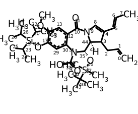 C=CCC1C(C=CC)=CN2C(=O)c3cc(OC)c(O[Si](C(C)C)(C(C)C)C(C)C)cc3N(C(=O)O)[C@@H](O[Si](C)(C)C(C)(C)C)[C@H]12